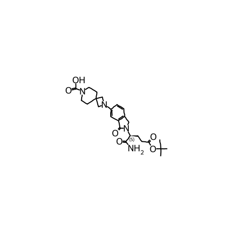 CC(C)(C)OC(=O)CC[C@@H](C(N)=O)N1Cc2ccc(N3CC4(CCN(C(=O)O)CC4)C3)cc2C1=O